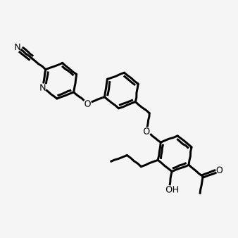 CCCc1c(OCc2cccc(Oc3ccc(C#N)nc3)c2)ccc(C(C)=O)c1O